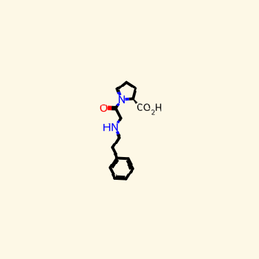 O=C(O)[C@@H]1CCCN1C(=O)CNCCc1ccccc1